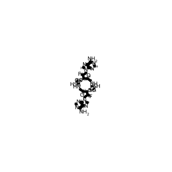 Nc1ncnc2c1ncn2C1OC2CNP(=O)(S)OC3C(CNP(=O)(S)OC2C1F)OC(n1cnc2c(N)ncnc21)C3F